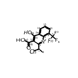 CC(Cl)c1nc2c(C(F)(F)F)cccc2c(O)c1C(=O)O